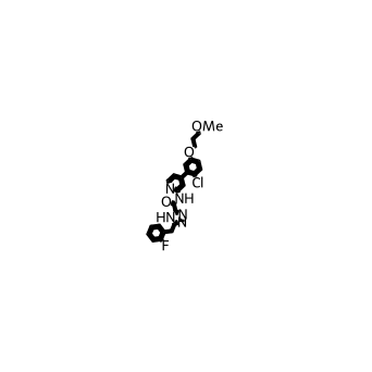 COCCCOc1ccc(Cl)c(-c2ccnc(NC(=O)c3nnc(Cc4ccccc4F)[nH]3)c2)c1